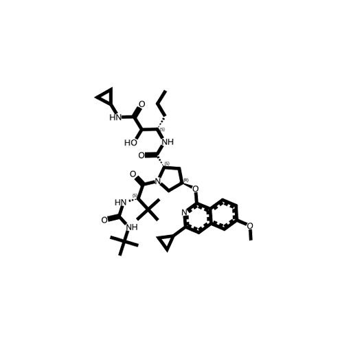 CCC[C@H](NC(=O)[C@@H]1C[C@@H](Oc2nc(C3CC3)cc3cc(OC)ccc23)CN1C(=O)[C@@H](NC(=O)NC(C)(C)C)C(C)(C)C)C(O)C(=O)NC1CC1